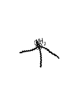 CCCCCCCCCCCCCCCCCCOc1cc(C(N)=O)cc(OCCCCCCCCCCCCCCCCCC)c1OCCCCCCCCCCCCCCCCCC